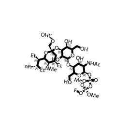 CCC[C@@H](CC)[C@@H](CC)C1O[C@](COC=O)(O[C@@H]2C(O)[C@H](O[C@@H]3C(CO)O[C@H](OP(=O)(OC)OP(=O)(OC)OF)C(NC(C)=O)[C@H]3O)OC(CO)[C@@H]2O)C[C@@H](CC)[C@H]1NC